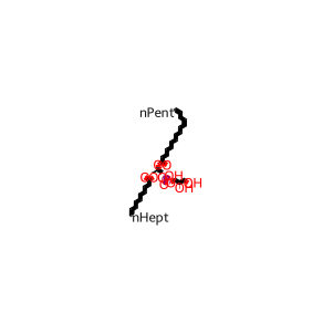 CCCCC/C=C\C/C=C\CCCCCCCCCC(=O)O[C@H](COC(=O)CCCCCCC/C=C\CCCCCCC)COP(=O)(O)OC[C@@H](O)CO